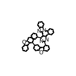 c1ccc(-c2nc(-c3cccc4oc5ccc(-c6cccc7oc8ccccc8c67)cc5c34)nc3c4ccccc4n4c5ccccc5nc4c23)cc1